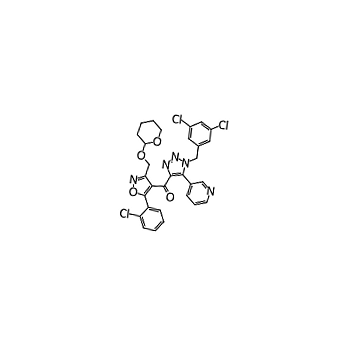 O=C(c1nnn(Cc2cc(Cl)cc(Cl)c2)c1-c1cccnc1)c1c(COC2CCCCO2)noc1-c1ccccc1Cl